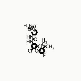 CC(C)c1cc(F)cc(Oc2c(Cl)cc(NC(=O)NC3CCCN(S(C)(=O)=O)C3)cc2Cl)c1